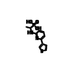 CC(Nc1cccc(-c2ccsc2)n1)P(=O)(O)O